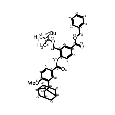 COc1ccc(C(=O)Oc2ccc(C(=O)OCc3ccccc3)cc2CO[Si](C)(C)C(C)(C)C)cc1C12CC3CC(CC(C3)C1)C2